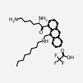 CCCCCCCCNCc1c2ccccc2cc2cccc(C(=O)[C@@H](N)CCCCN)c12.O=C(O)C(F)(F)F